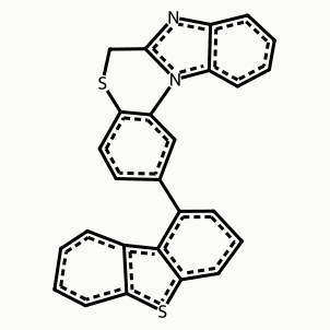 c1ccc2c(c1)nc1n2-c2cc(-c3cccc4sc5ccccc5c34)ccc2SC1